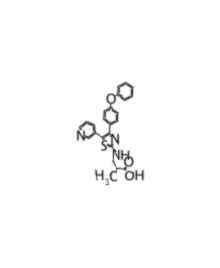 CC(CNc1nc(-c2ccc(Oc3ccccc3)cc2)c(-c2cccnc2)s1)C(=O)O